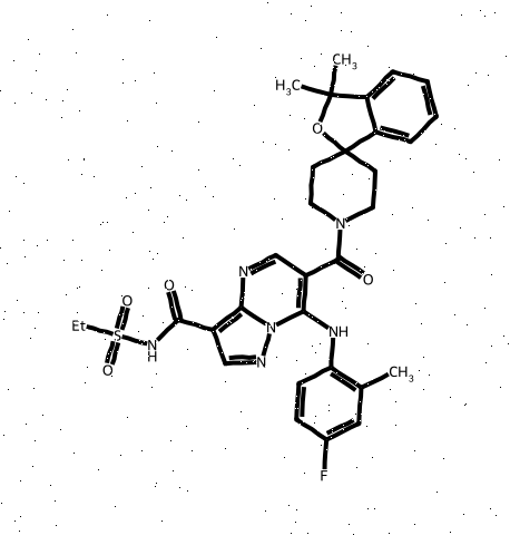 CCS(=O)(=O)NC(=O)c1cnn2c(Nc3ccc(F)cc3C)c(C(=O)N3CCC4(CC3)OC(C)(C)c3ccccc34)cnc12